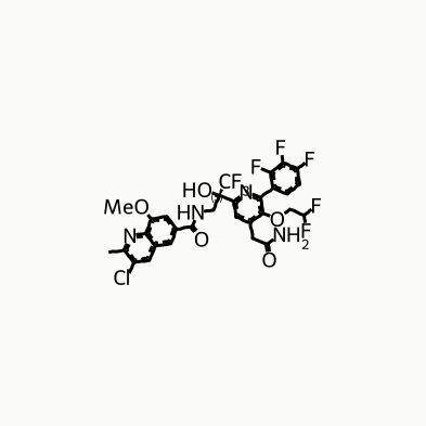 COc1cc(C(=O)NC[C@](O)(c2cc(CC(N)=O)c(OCC(F)F)c(-c3ccc(F)c(F)c3F)n2)C(F)(F)F)cc2cc(Cl)c(C)nc12